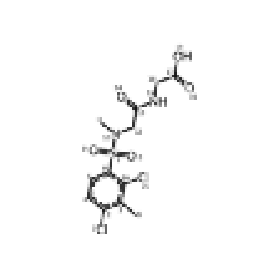 Cc1c(Cl)ccc(S(=O)(=O)N(C)CC(=O)NCC(=O)O)c1Cl